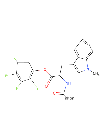 CCCCCCCCCC(=O)NC(Cc1cn(C)c2ccccc12)C(=O)Oc1cc(F)c(F)c(F)c1F